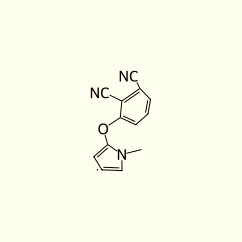 Cn1c[c]cc1Oc1cccc(C#N)c1C#N